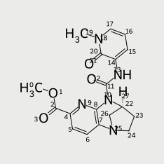 COC(=O)c1ccc2c(n1)N(C(=O)Nc1cccn(C)c1=O)[C@H]1CCN2C1